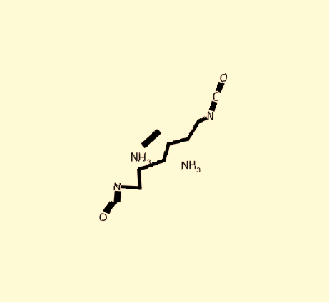 C=C.N.N.O=C=NCCCCCCN=C=O